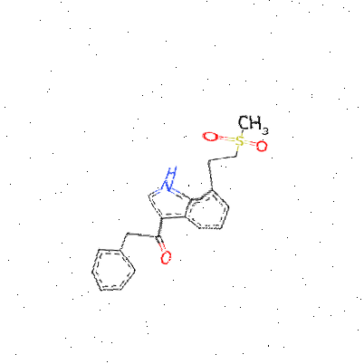 CS(=O)(=O)CCc1cccc2c(C(=O)Cc3ccccc3)c[nH]c12